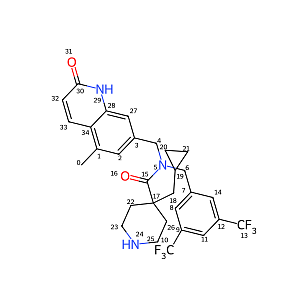 Cc1cc(CN(Cc2cc(C(F)(F)F)cc(C(F)(F)F)c2)C(=O)C2(CC3CC3)CCNCC2)cc2[nH]c(=O)ccc12